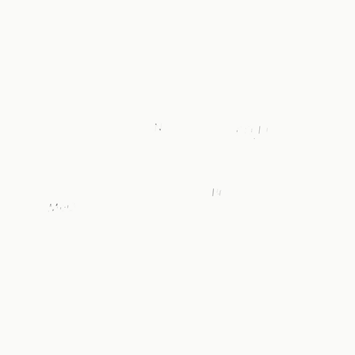 CCOC(=O)c1cnc2cc(OC)ccc2c1Br